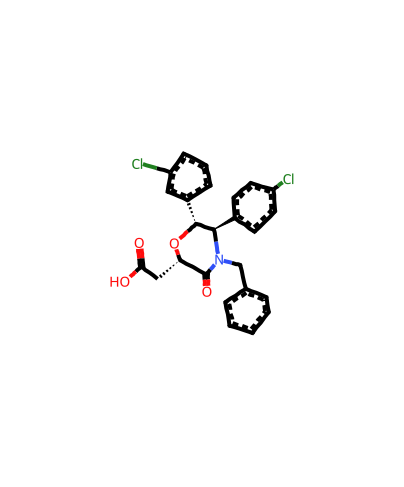 O=C(O)C[C@@H]1O[C@H](c2cccc(Cl)c2)[C@@H](c2ccc(Cl)cc2)N(Cc2ccccc2)C1=O